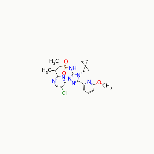 COc1cccc(-c2nnc(NS(=O)(=O)[C@@H](C)[C@H](C)c3ncc(Cl)cn3)n2[C@H]2CC23CC3)n1